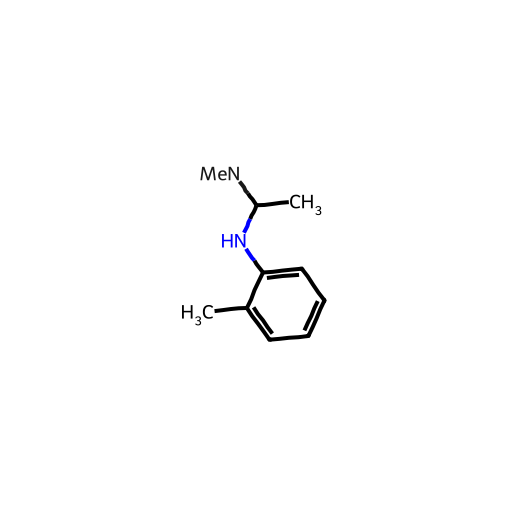 CNC(C)Nc1ccccc1C